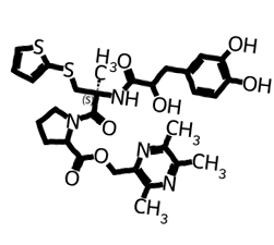 Cc1nc(C)c(COC(=O)C2CCCN2C(=O)[C@@](C)(CSc2cccs2)NC(=O)C(O)Cc2ccc(O)c(O)c2)nc1C